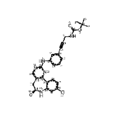 CC(C)(C)OC(=O)NCC#Cc1cccc(Nc2ncc3c(n2)-c2ccc(Cl)cc2NC(=O)C3)c1